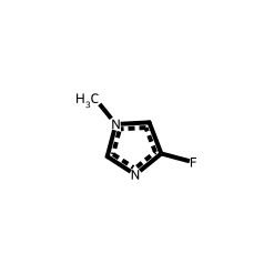 Cn1cnc(F)c1